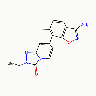 Cc1ccc2c(N)noc2c1-c1ccn2c(=O)n(CC(C)(C)C)nc2c1